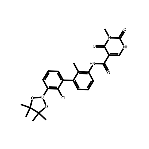 Cc1c(NC(=O)c2c[nH]c(=O)n(C)c2=O)cccc1-c1cccc(B2OC(C)(C)C(C)(C)O2)c1Cl